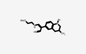 COCCN/C=C(\C=N)c1ccc2c(c1)CC(C)CN2C(C)=O